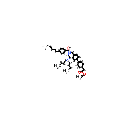 CCCCCc1ccc(C(=O)N(CCN(CCCC)CCCC)Cc2ccc(-c3ccc(CC(=O)OC)cc3)cc2)cc1